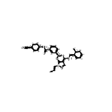 CCCn1ncc2c(NCc3ccccc3C)nc(-c3cccc(C(=O)Nc4ccc(C#N)cc4)c3)nc21